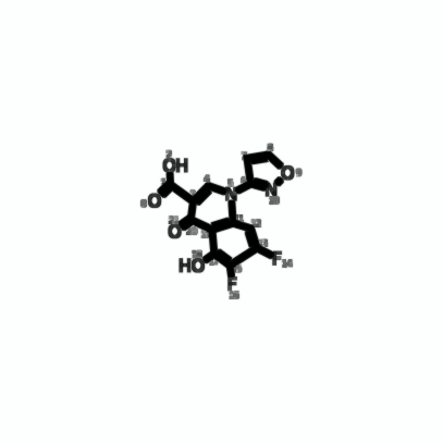 O=C(O)c1cn(-c2ccon2)c2cc(F)c(F)c(O)c2c1=O